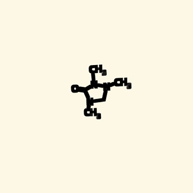 CN1CN(C)N(C)C1=O